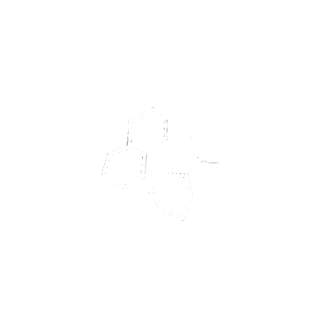 CN(C)c1ccccc1.c1ccc2ccccc2c1